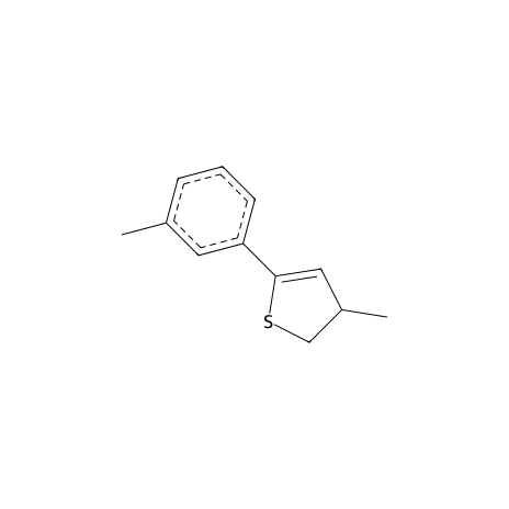 Cc1cccc(C2=CC(C)CS2)c1